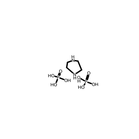 C1CNCCN1.O=P(O)(O)O.O=P(O)(O)O